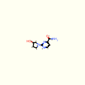 NC(=O)c1[c]cnc(N2CCC(O)C2)n1